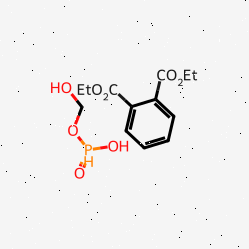 CCOC(=O)c1ccccc1C(=O)OCC.O=[PH](O)OCO